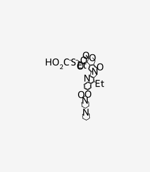 CCc1c2c(nc3ccc(OC(=O)N4CCC(N5CCCCC5)CC4)cc13)-c1cc3c(c(=O)n1C2)COC(=O)[C@@]3(CC)OC(=O)CSCC(=O)O